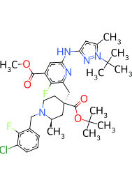 COC(=O)c1cc(Nc2cc(C)n(C(C)(C)C)n2)nc(C[C@@]2(C(=O)OC(C)(C)C)CCN(Cc3cccc(Cl)c3F)[C@H](C)C2)c1F